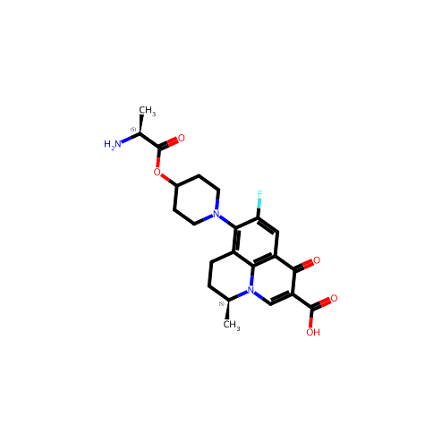 C[C@H](N)C(=O)OC1CCN(c2c(F)cc3c(=O)c(C(=O)O)cn4c3c2CC[C@@H]4C)CC1